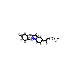 CC(=CC(=O)O)c1ccc2c(ccn2Cc2ccc(C)cc2)c1